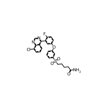 NC(=O)CCCCS(=O)(=O)c1cccc(Oc2ccc(F)c(-c3ncnc4c(Cl)cccc34)c2)c1